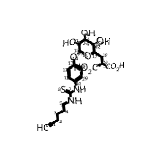 C#CCCCCNC(=S)Nc1ccc(O[C@H]2OC(CC(C(=O)O)C(=O)O)[C@@H](O)[C@H](O)[C@@H]2O)cc1